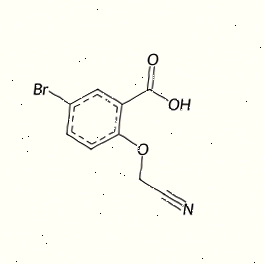 N#CCOc1ccc(Br)cc1C(=O)O